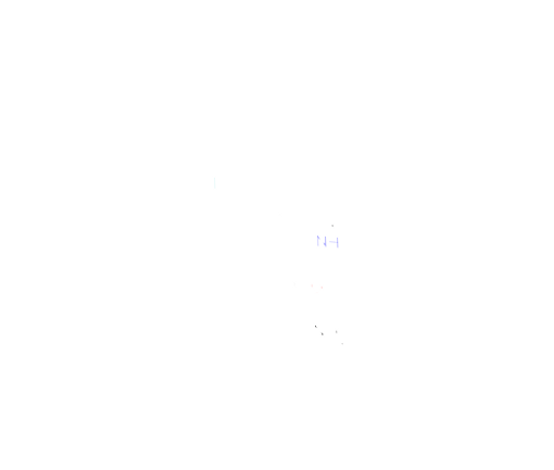 CC1(C)Cc2ccc(F)cc2C(=CC(=O)c2ccccc2[N+](=O)[O-])N1